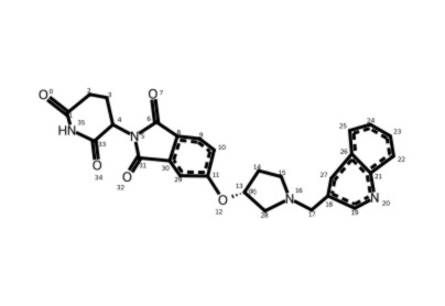 O=C1CCC(N2C(=O)c3ccc(O[C@@H]4CCN(Cc5cnc6ccccc6c5)C4)cc3C2=O)C(=O)N1